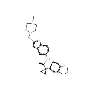 CN1CCN(Cc2cc3cc(NC(=O)C4(c5ccc6c(c5)OCO6)CC4)ccc3[nH]2)CC1